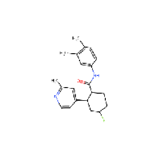 Cc1cc([C@@H]2CC(F)CCC2C(=O)Nc2ccc(C)c(C)c2)ccn1